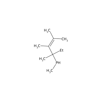 CCC(C)(PC)C(C)=C(C)C